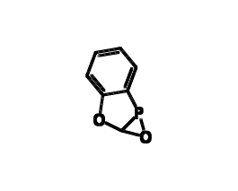 c1ccc2c(c1)OC1OP21